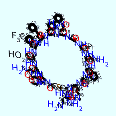 CC(C)C[C@H]1NC(=O)[C@H](C)N(C)C(=O)[C@H](CCC(N)=O)NC(=O)[C@H](Cc2ccc(-c3ccccc3)cc2)NC(=O)[C@H](CCc2ccccc2)NC(=O)[C@H](Cc2cccc(C(F)(F)F)c2)NC(=O)[C@H](CC(=O)O)NC(=O)[C@H](CCC(N)=O)NC(=O)[C@H](CN2CCOCC2)NC(=O)CSC[C@@H](C(=O)N[C@@H](CCN)C(N)=O)NC(=O)[C@H](CCCN)NC(=O)[C@H](C(C)C)NC(=O)[C@H](CC2CCCCC2)NC(=O)[C@H](CCN)NC1=O